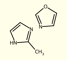 Cc1ncc[nH]1.c1cocn1